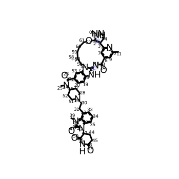 CN/C1=C(\C=N)c2cc(cc(C)n2)C(=O)/N=C2\Nc3ccc(C(=O)N(C)C4CCN(CCc5cccc6c5n(C)c(=O)n6C5CCC(=O)NC5=O)CC4)cc3N2C[C@H](C)CCCO1